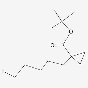 CC(C)(C)OC(=O)C1(CCCCCI)CC1